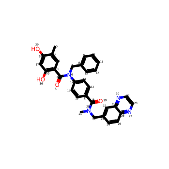 Cc1cc(C(=O)N(Cc2ccccc2)c2ccc(C(=O)N(C)Cc3ccc4nccnc4c3)cc2)c(O)cc1O